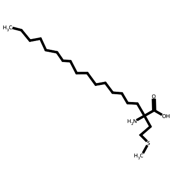 CCCCCCCCCCCCCCCCC(N)(CCSC)C(=O)O